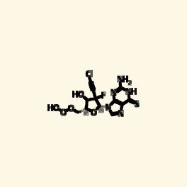 Nc1nc2c(ncn2[C@@H]2O[C@H](COOO)C(O)C2(F)C#CCl)c(=S)[nH]1